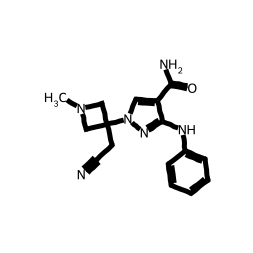 CN1CC(CC#N)(n2cc(C(N)=O)c(Nc3ccccc3)n2)C1